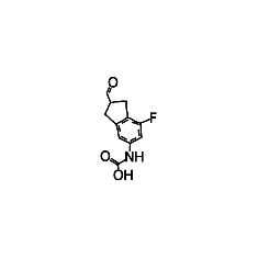 O=CC1Cc2cc(NC(=O)O)cc(F)c2C1